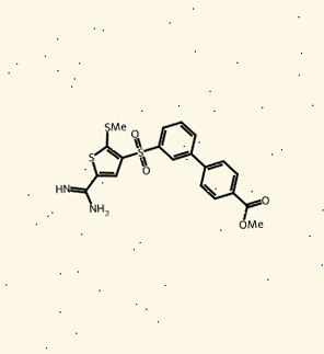 COC(=O)c1ccc(-c2cccc(S(=O)(=O)c3cc(C(=N)N)sc3SC)c2)cc1